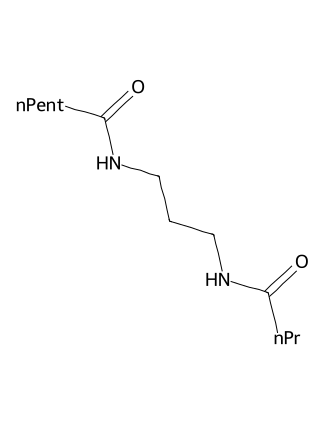 CCCCCC(=O)NCCCNC(=O)CCC